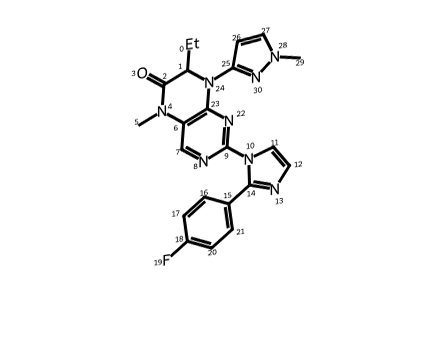 CCC1C(=O)N(C)c2cnc(-n3ccnc3-c3ccc(F)cc3)nc2N1c1ccn(C)n1